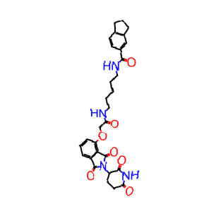 O=C(COc1cccc2c1C(=O)N(C1CCC(=O)NC1=O)C2=O)NCCCCCNC(=O)c1ccc2c(c1)CCC2